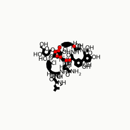 CN[C@H](CC(C)C)C(=O)N[C@H]1C(=O)N[C@@H](CC(N)=O)C(=O)N[C@H]2C(=O)N[C@H]3C(=O)N[C@H](C(=O)N[C@H](C(=O)O)c4cc(O)cc(O)c4-c4cc3ccc4O)[C@H](O)c3ccc(c(Cl)c3)Oc3cc2cc(c3O[C@@H]2O[C@H](CO)C(O)[C@H](O)C2OC2C[C@](C)(N)[C@H](O)[C@H](C)O2)Oc2ccc(cc2Cl)[C@H]1O